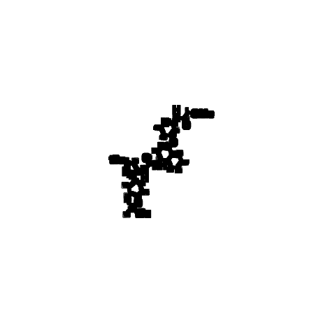 COCC(=O)Nc1cc(Oc2ccc(NC(=O)Nc3cc(C(C)(C)C)nn3-c3ccc(O[Si](C)(C)C(C)(C)C)cc3)c3ccccc23)ccn1